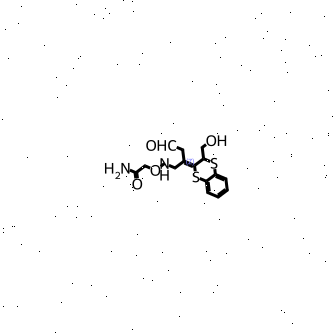 NC(=O)CONC/C(CC=O)=C1\Sc2ccccc2SC1CO